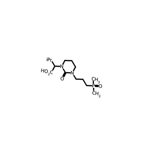 CC(C)C(C(=O)O)N1CCCN(CCCP(C)(C)=O)C1=O